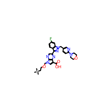 C[Si](C)(C)CCOCn1cc(C(=O)O)c2nc(-c3nn(Cc4ccc(N5CCOCC5)nc4)c4cc(F)ccc34)cnc21